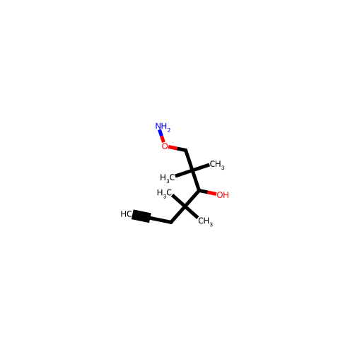 C#CCC(C)(C)C(O)C(C)(C)CON